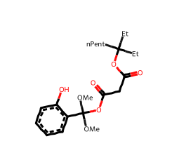 CCCCCC(CC)(CC)OC(=O)CC(=O)OC(OC)(OC)c1ccccc1O